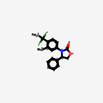 CCOC(=O)C(F)(F)c1ccc(N2C(=O)OCC2c2ccccc2)cc1OC